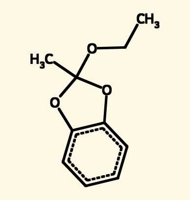 CCOC1(C)Oc2ccccc2O1